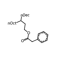 CCCCCCCCCCC(CCCCCCCC)CCOC(=O)Cc1ccccc1